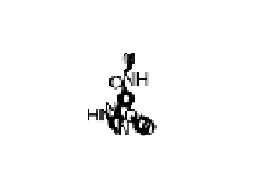 CN(C)CCNC(=O)c1cccc(-c2n[nH]c3ccnc(OC4CCOCC4)c23)c1